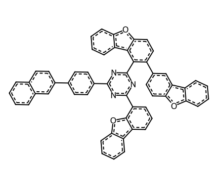 c1ccc2cc(-c3ccc(-c4nc(-c5cccc6c5oc5ccccc56)nc(-c5c(-c6ccc7oc8ccccc8c7c6)ccc6oc7ccccc7c56)n4)cc3)ccc2c1